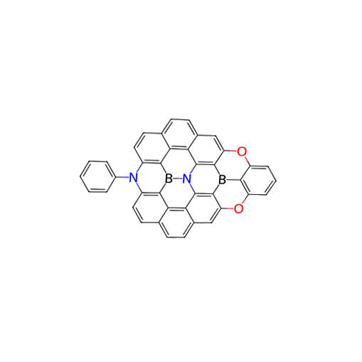 c1ccc(N2c3ccc4ccc5cc6c7c8c5c4c3B3c4c2ccc2ccc5cc9c(c(c5c42)N38)B7c2c(cccc2O9)O6)cc1